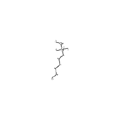 [CH2]O[Si](C)(C)CCCCCC